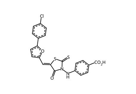 O=C(O)c1ccc(NN2C(=O)C(=Cc3ccc(-c4ccc(Cl)cc4)o3)SC2=S)cc1